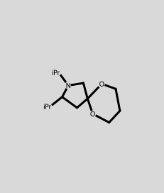 CC(C)C1CC2(CN1C(C)C)OCCCO2